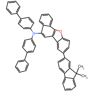 CC1(C)c2ccccc2-c2ccc(-c3ccc4oc5c6ccccc6c(N(c6ccc(-c7ccccc7)cc6)c6ccc(-c7ccccc7)cc6)cc5c4c3)cc21